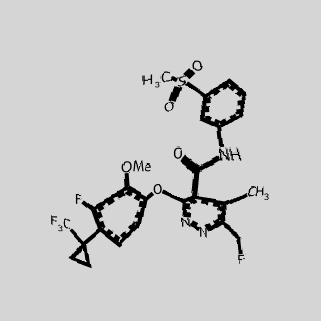 COc1c(Oc2nnc(CF)c(C)c2C(=O)Nc2cccc(S(C)(=O)=O)c2)ccc(C2(C(F)(F)F)CC2)c1F